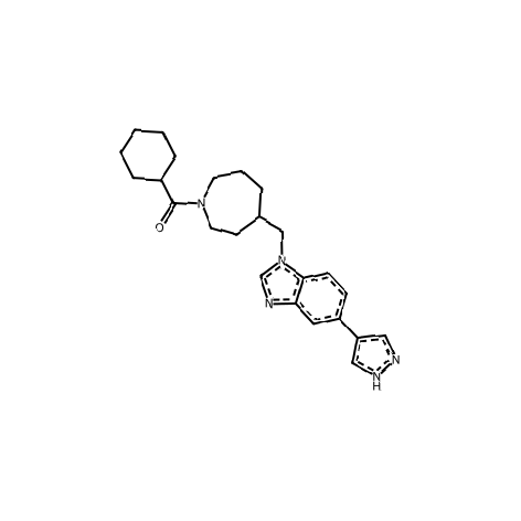 O=C(C1CCCCC1)N1CCCC(Cn2cnc3cc(-c4cn[nH]c4)ccc32)CC1